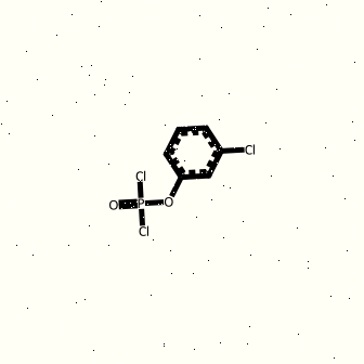 O=P(Cl)(Cl)Oc1cccc(Cl)c1